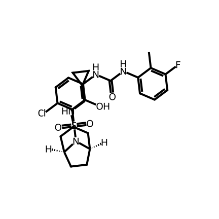 Cc1c(F)cccc1NC(=O)Nc1ccc(Cl)c(S(=O)(=O)N2[C@@H]3CC[C@H]2C[C@@H](NCC2CC2)C3)c1O